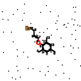 Cc1cc(C)c(OC=CCBr)c(C)c1